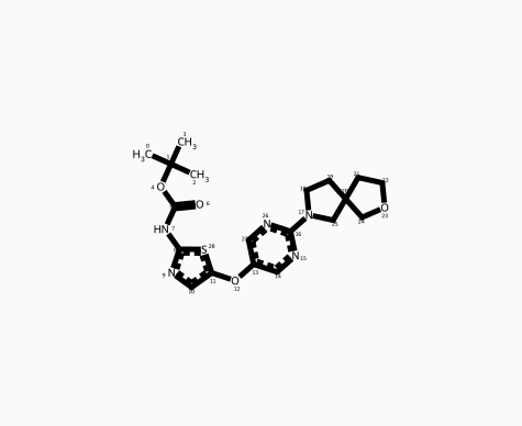 CC(C)(C)OC(=O)Nc1ncc(Oc2cnc(N3CCC4(CCOC4)C3)nc2)s1